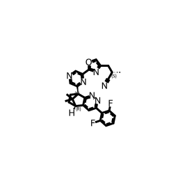 C[C@H](C#N)Cc1coc(-c2cncc([C@@]34CC[C@@H](c5cc(-c6c(F)cccc6F)nnc53)C4(C)C)n2)n1